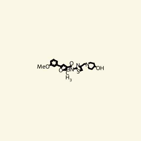 COc1cccc(-c2cc(C(=O)Nc3nc(CN4CCC(O)CC4)cs3)c(C)o2)c1